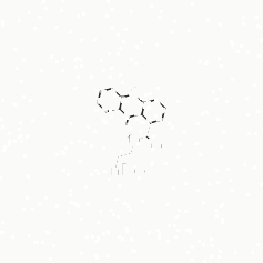 CCCCCCCCCCCCOC(=O)c1cccc2sc3ccccc3c(=O)c12